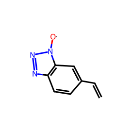 C=Cc1ccc2nnn([O])c2c1